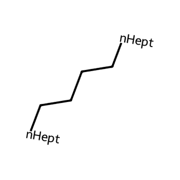 [CH2]CCCCCCCCCCCCCCCC[CH2]